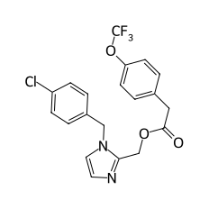 O=C(Cc1ccc(OC(F)(F)F)cc1)OCc1nccn1Cc1ccc(Cl)cc1